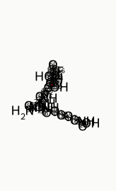 CC(C)[C@H](NC(=O)CCOCCOCCOCCOCCNC(=O)O)C(=O)N[C@@H](CCCNC(N)=O)C(=O)Nc1ccc(OCC(=O)[C@@]2(O)[C@H](C)C[C@H]3[C@@H]4C[C@H](F)C5=CC(=O)C=C[C@]5(C)[C@@]4(F)[C@@H](O)C[C@@]32C)cc1